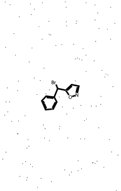 BrC(c1ccccc1)c1ccno1